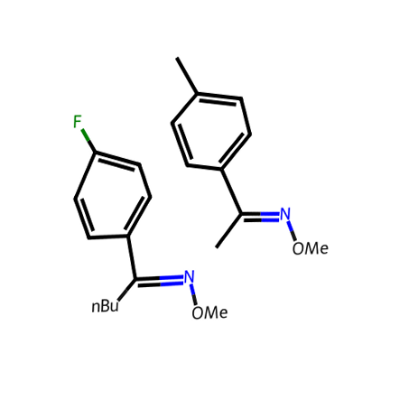 CCCCC(=NOC)c1ccc(F)cc1.CON=C(C)c1ccc(C)cc1